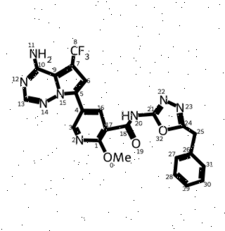 COc1ncc(-c2cc(C(F)(F)F)c3c(N)ncnn23)cc1C(=O)Nc1nnc(Cc2ccccc2)o1